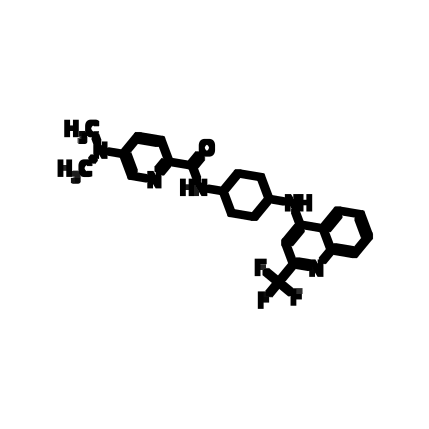 CN(C)c1ccc(C(=O)NC2CCC(Nc3cc(C(F)(F)F)nc4ccccc34)CC2)nc1